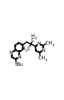 Cc1cc(C(C)(C)Cc2ccc3ncc(C(C)(C)C)nc3c2)nc(C)n1